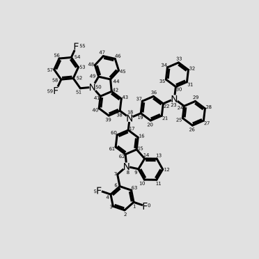 Fc1ccc(F)c(Cn2c3ccccc3c3cc(N(c4ccc(N(c5ccccc5)c5ccccc5)cc4)c4ccc5c(c4)c4ccccc4n5Cc4cc(F)ccc4F)ccc32)c1